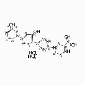 Cc1cc(-c2ccc(-c3cnc(N4CCNC(C(C)C)C4)nn3)c(O)c2)ccn1.Cl.Cl